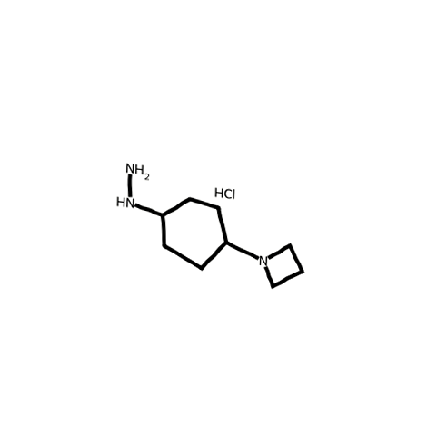 Cl.NNC1CCC(N2CCC2)CC1